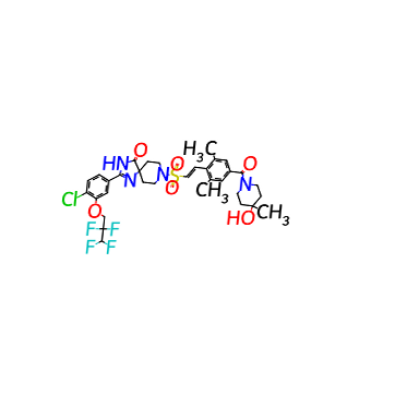 Cc1cc(C(=O)N2CCC(C)(O)CC2)cc(C)c1/C=C/S(=O)(=O)N1CCC2(CC1)N=C(c1ccc(Cl)c(OCC(F)(F)C(F)F)c1)NC2=O